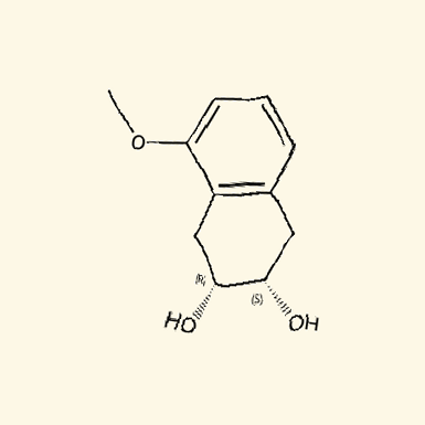 COc1cccc2c1C[C@@H](O)[C@@H](O)C2